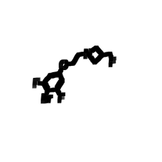 FCC1CN(CCOc2cc(F)c(Br)c(F)c2)C1